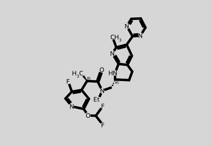 CCN(C[C@H]1CCc2cc(-c3ncccn3)c(C)nc2N1)C(=O)[C@H](C)c1cc(OC(F)F)ncc1F